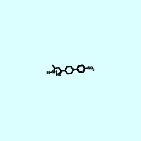 CCNC(C)CC(=N)C1CCN(c2ccc([N+](=O)[O-])cc2)CC1